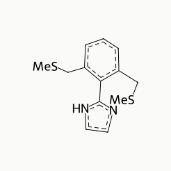 CSCc1cccc(CSC)c1-c1ncc[nH]1